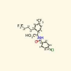 O=C(NC(C(=O)O)c1ccc(C(F)(F)F)cc1CCCC(F)(F)F)c1ccc(Cl)cc1